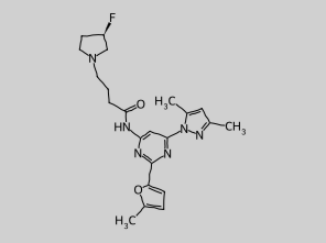 Cc1cc(C)n(-c2cc(NC(=O)CCCN3CC[C@@H](F)C3)nc(-c3ccc(C)o3)n2)n1